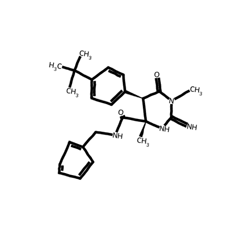 CN1C(=N)N[C@](C)(C(=O)NCc2ccccc2)[C@@H](c2ccc(C(C)(C)C)cc2)C1=O